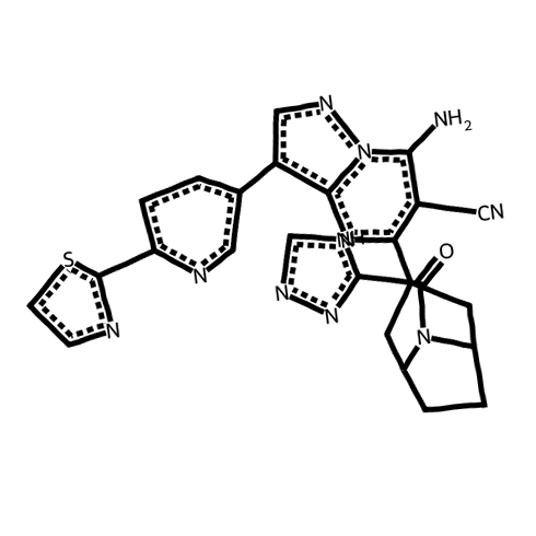 N#Cc1c(C2CC3CCC(C2)N3C(=O)c2nnc[nH]2)nc2c(-c3ccc(-c4nccs4)nc3)cnn2c1N